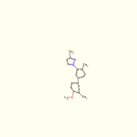 Cc1ccn(-c2cc(-c3ccc(OC(F)(F)F)c(C)c3)ccc2C)n1